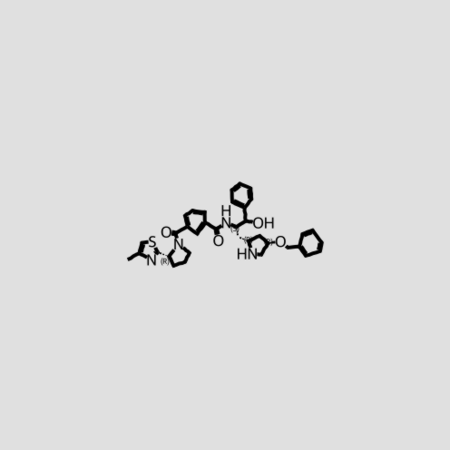 Cc1csc([C@H]2CCCN2C(=O)c2cccc(C(=O)N[C@@H](C[C@@H]3C[C@@H](OCc4ccccc4)CN3)C(O)c3ccccc3)c2)n1